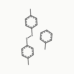 Cc1ccc(SSc2ccc(C)cc2)cc1.Cc1ccccc1